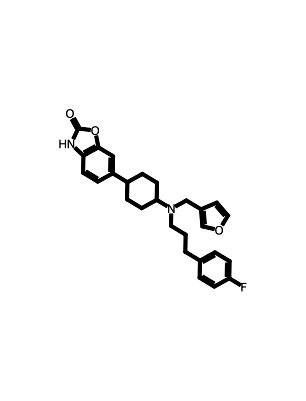 O=c1[nH]c2ccc(C3CCC(N(CCCc4ccc(F)cc4)Cc4ccoc4)CC3)cc2o1